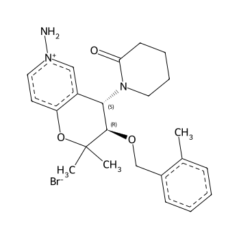 Cc1ccccc1CO[C@@H]1[C@@H](N2CCCCC2=O)c2c[n+](N)ccc2OC1(C)C.[Br-]